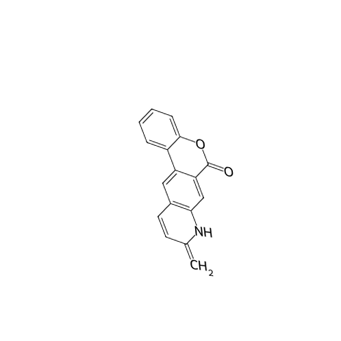 C=C1C=Cc2cc3c(cc2N1)c(=O)oc1ccccc13